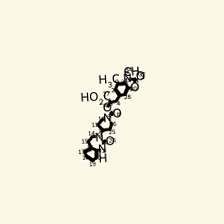 Cc1cc(CC(OC(=O)N2CCC(N3CCc4ccccc4NC3=O)CC2)C(=O)O)cc2oc(=O)n(C)c12